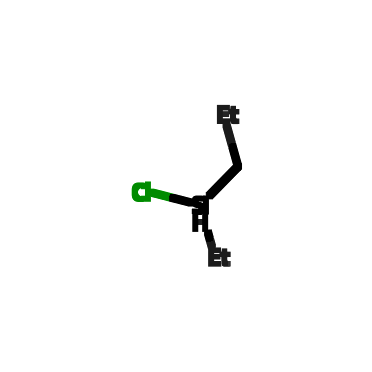 CCC[SiH](Cl)CC